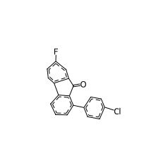 O=C1c2cc(F)ccc2-c2cccc(-c3ccc(Cl)cc3)c21